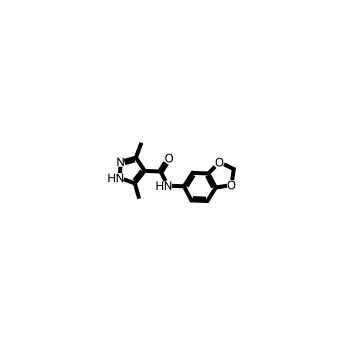 Cc1n[nH]c(C)c1C(=O)Nc1ccc2c(c1)OCO2